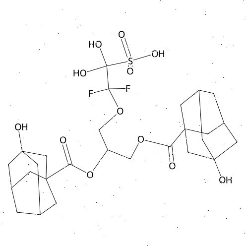 O=C(OCC(COC(F)(F)C(O)(O)S(=O)(=O)O)OC(=O)C12CC3CC(CC(O)(C3)C1)C2)C12CC3CC(CC(O)(C3)C1)C2